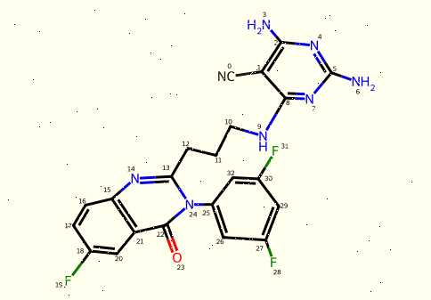 N#Cc1c(N)nc(N)nc1NCCCc1nc2ccc(F)cc2c(=O)n1-c1cc(F)cc(F)c1